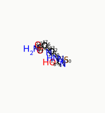 CSc1ncc(CO)c(NCc2ccc(-c3cccc(S(N)(=O)=O)c3)nc2)n1